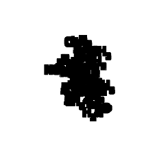 C=C1N(CC2(C)C(=C)N(CC3(C)C(=C)N(CC4(C)C(=C)N(C)c5ccc(Cl)cc54)c4ccc(C#N)cc43)c3ccc(C)cc32)c2ccc(C(N)=O)cc2C1(C)Cl